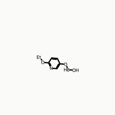 CCOc1ccc(OBO)cn1